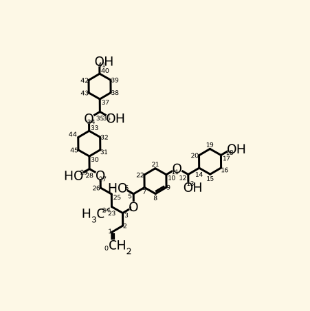 C=CCC(OC(O)C1C=CC(OC(O)C2CCC(O)CC2)CC1)[C@H](C)CCOC(O)C1CCC(OC(O)C2CCC(O)CC2)CC1